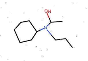 [CH2]CCN(C(C)O)C1CCCCC1